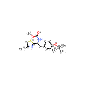 CC(C)(C)OC(=O)NC(Cc1ccc(O[Si](C)(C)C(C)(C)C)cc1)c1nc(C=O)cs1